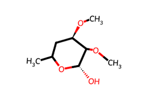 COC1[C@H](O)OC(C)C[C@H]1OC